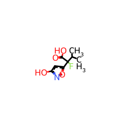 CC(C)C(F)(C(=O)O)c1cc(O)no1